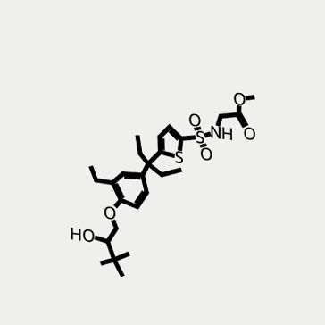 CCc1cc(C(CC)(CC)c2ccc(S(=O)(=O)NCC(=O)OC)s2)ccc1OCC(O)C(C)(C)C